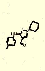 Cc1ccc(Nc2nn(C3CCCCC3)cc2C=O)cc1